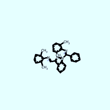 Cc1cccc(C)c1/N=C(/c1ccccc1)n1nc(/C=N/c2c(C)cccc2C)c2ccccc21